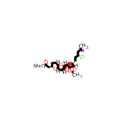 C=C(I)C[C@H](Cl)CC[C@]12OC3[C@@H]4OC5(O[C@@H](C)O[C@H]51)[C@@H](O2)C4O[C@H]1CC[C@H](CC(=O)OC)O[C@H]31